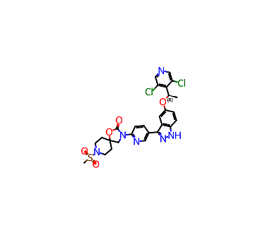 C[C@@H](Oc1ccc2[nH]nc(-c3ccc(N4CC5(CCN(S(C)(=O)=O)CC5)OC4=O)nc3)c2c1)c1c(Cl)cncc1Cl